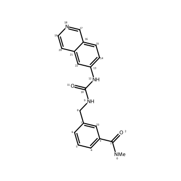 CNC(=O)c1cccc(CNC(=O)Nc2ccc3cnccc3c2)c1